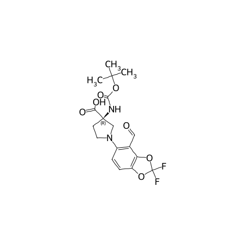 CC(C)(C)OC(=O)N[C@]1(C(=O)O)CCN(c2ccc3c(c2C=O)OC(F)(F)O3)C1